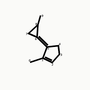 CC1=CCCC1=C1CC1C